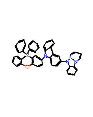 C1=CN2c3ccccc3N(c3ccc4c(c3)c3ccccc3n4-c3ccc4c(c3)[Si](c3ccccc3)(c3ccccc3)c3ccccc3O4)N2C=C1